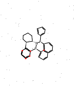 c1ccc(P(c2ccccc2)N([C@H]2CCCC[C@@H]2C2CCCCC2)P(c2ccccc2)c2ccccc2)cc1